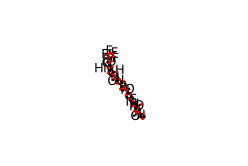 COc1cc(N2CCCC2)c(OC)cc1/N=N/c1nc2ccc(C(=O)N3CCc4c3ccc3[nH]c(C(=O)N5CCc6c5ccc5[nH]c(C(=O)Oc7c(F)c(F)c(F)c(F)c7F)cc65)cc43)cc2s1